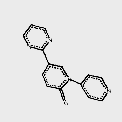 O=c1ccc(-c2ncccn2)cn1-c1ccncc1